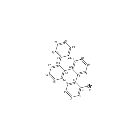 Brc1ccccc1-c1ccccc1-c1ccccc1-c1ccccc1